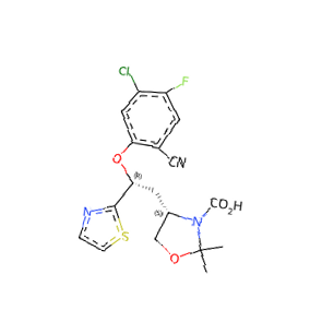 CC1(C)OC[C@H](C[C@@H](Oc2cc(Cl)c(F)cc2C#N)c2nccs2)N1C(=O)O